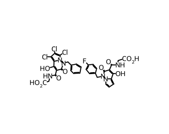 O=C(O)CNC(=O)c1c(O)c2c(Cl)c(Cl)c(Cl)n2n(Cc2ccccc2)c1=O.O=C(O)CNC(=O)c1c(O)c2cccn2n(Cc2ccc(F)cc2)c1=O